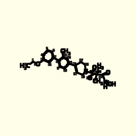 CCOc1cccc(-c2ccc(C3=CCN(S(=O)(=O)C(C)(C)C(=O)NO)CC3)cc2C)c1